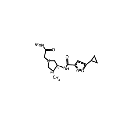 CNC(=O)CN1C[C@@H](C)[C@H](NC(=O)c2cc(C3CC3)on2)C1